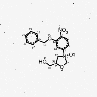 O=[N+]([O-])c1ccc([N+]2([O-])CO[C@@H](CO)C2)cc1OCc1ccccc1